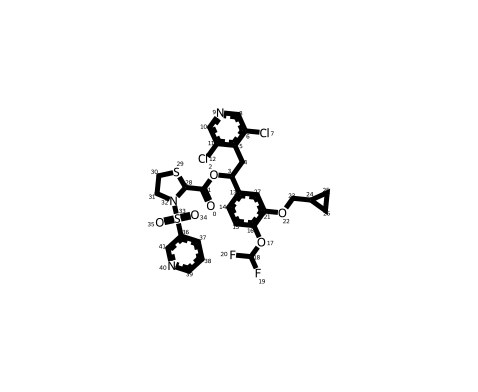 O=C(OC(Cc1c(Cl)cncc1Cl)c1ccc(OC(F)F)c(OCC2CC2)c1)C1SCCN1S(=O)(=O)c1cccnc1